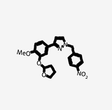 COc1ccc(-c2ccn(Cc3ccc([N+](=O)[O-])cc3)n2)cc1OC1CCCO1